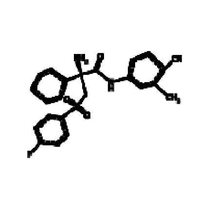 Cc1cc(NC(=O)[C@](N)(CS(=O)(=O)c2ccc(F)cc2)c2ccccc2)ccc1C#N